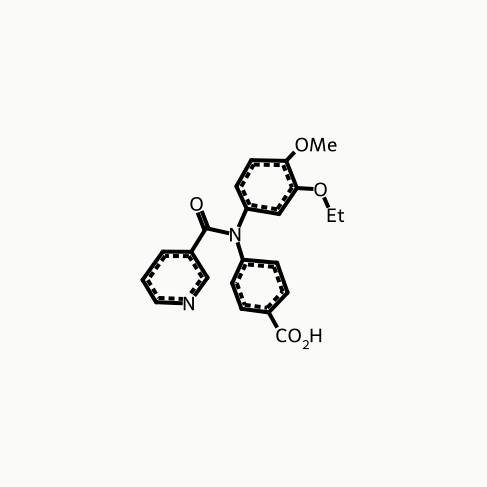 CCOc1cc(N(C(=O)c2cccnc2)c2ccc(C(=O)O)cc2)ccc1OC